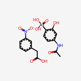 CC(=O)Nc1ccc([As](=O)(O)O)c(O)c1.O=C(O)Cc1cccc([N+](=O)[O-])c1